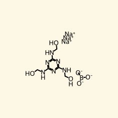 OCNc1nc(NCO)nc(NCO)n1.[Na+].[Na+].[Na+].[O-]B([O-])[O-]